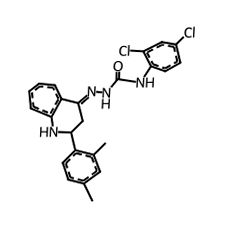 Cc1ccc(C2CC(=NNC(=O)Nc3ccc(Cl)cc3Cl)c3ccccc3N2)c(C)c1